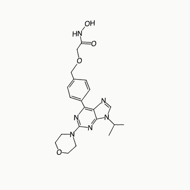 CC(C)n1cnc2c(-c3ccc(COCC(=O)NO)cc3)nc(N3CCOCC3)nc21